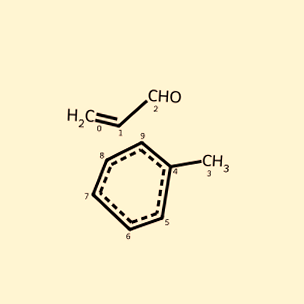 C=CC=O.Cc1ccccc1